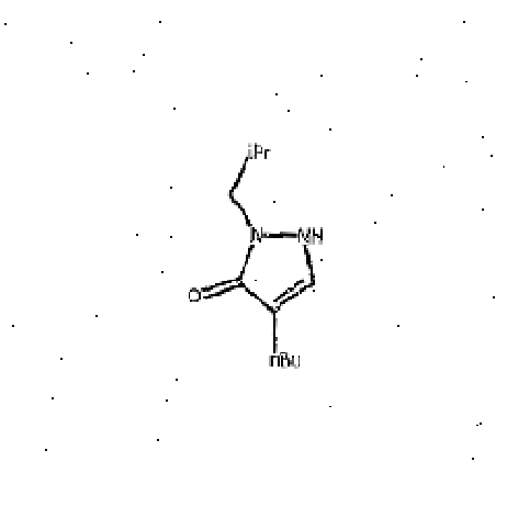 CCCCc1c[nH]n(CC(C)C)c1=O